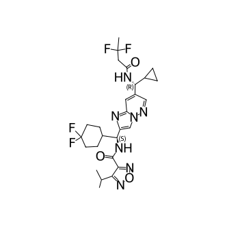 CC(C)c1nonc1C(=O)N[C@H](c1cn2ncc([C@H](NC(=O)CC(C)(F)F)C3CC3)cc2n1)C1CCC(F)(F)CC1